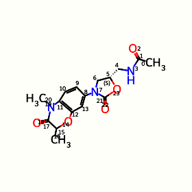 CC(=O)NC[C@H]1CN(c2ccc3c(c2)OC(C)C(=O)N3C)C(=O)O1